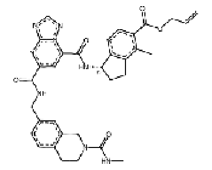 C=CCOC(=O)c1ccc2c(c1C)CC[C@@H]2NC(=O)c1cc(C(=O)NCc2ccc3c(c2)CN(C(=O)NC)CC3)nc2ncnn12